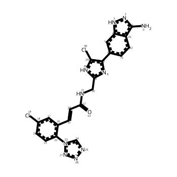 Nc1n[nH]c2cc(-c3nc(CNC(=O)/C=C/c4cc(Cl)ccc4-n4cnnn4)[nH]c3Cl)ccc12